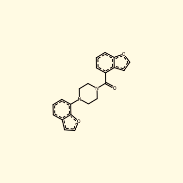 O=C(c1cccc2occc12)N1CCN(c2cccc3ccoc23)CC1